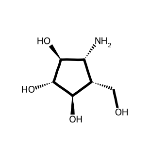 N[C@H]1[C@H](O)[C@@H](O)[C@H](O)[C@H]1CO